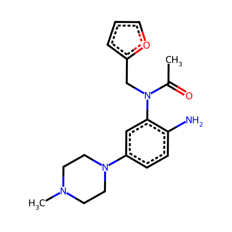 CC(=O)N(Cc1ccco1)c1cc(N2CCN(C)CC2)ccc1N